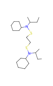 CCC(C)N(SCCSN(C(C)CC)C1CCCCC1)C1CCCCC1